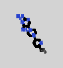 Nc1ncc(N2CCN(c3ccc(C(F)(F)F)nc3)CC2)c(N)n1